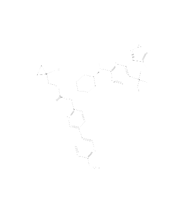 COc1ncc(-c2ccc(N(C(=O)OCC3(O)CC3)[C@H]3CC[C@H](Nc4ncc(C(O)(O)O)c(-c5n[nH]cc5O)n4)CC3)nc2)cn1